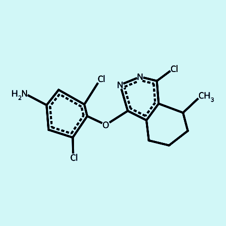 CC1CCCc2c(Oc3c(Cl)cc(N)cc3Cl)nnc(Cl)c21